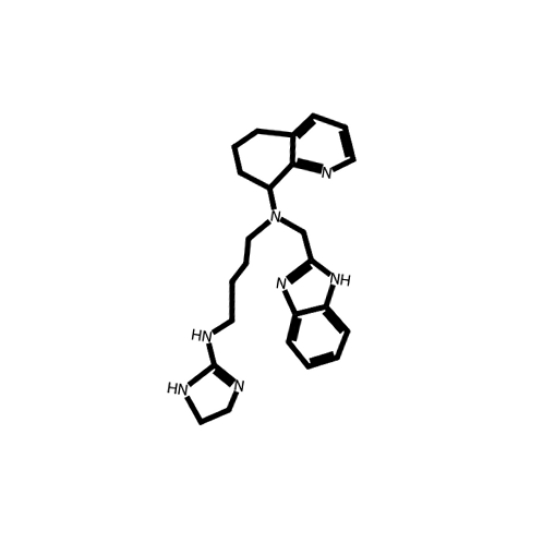 c1cnc2c(c1)CCCC2N(CCCCNC1=NCCN1)Cc1nc2ccccc2[nH]1